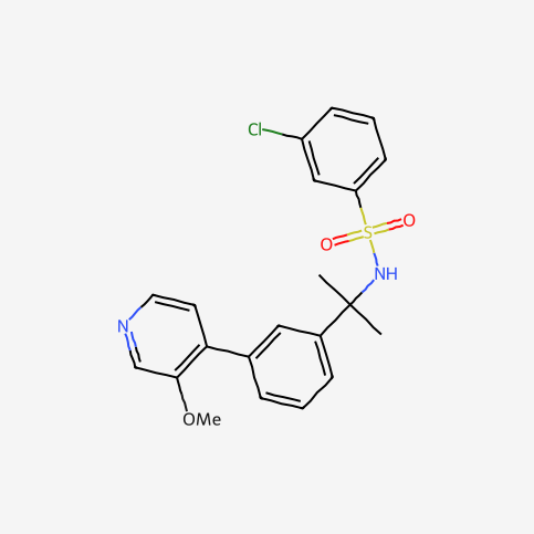 COc1cnccc1-c1cccc(C(C)(C)NS(=O)(=O)c2cccc(Cl)c2)c1